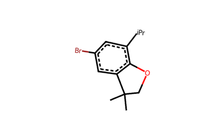 CC(C)c1cc(Br)cc2c1OCC2(C)C